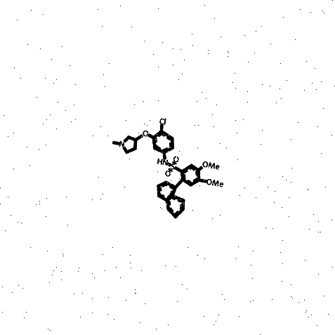 COc1cc(-c2cccc3ccccc23)c(S(=O)(=O)Nc2ccc(Cl)c(OC3CCN(C)C3)c2)cc1OC